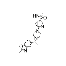 Cc1nc2cc(C(C)N3CCN(c4ncc(S(C)(=N)=O)cn4)CC3)ccc2o1